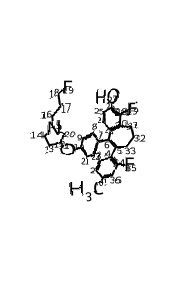 Cc1ccc(C2=C(c3ccc(O[C@H]4CCN(CCCF)C4)cc3)c3ccc(O)c(F)c3CCC2)c(F)c1